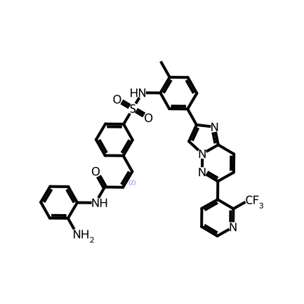 Cc1ccc(-c2cn3nc(-c4cccnc4C(F)(F)F)ccc3n2)cc1NS(=O)(=O)c1cccc(/C=C\C(=O)Nc2ccccc2N)c1